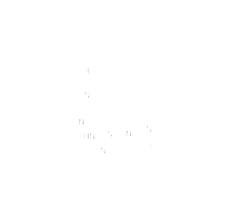 CN1C(=O)c2cc3cnc(Nc4ccc(N5CC(O)C5)cn4)nc3n2C2CCCC21